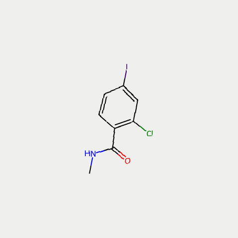 CNC(=O)c1ccc(I)cc1Cl